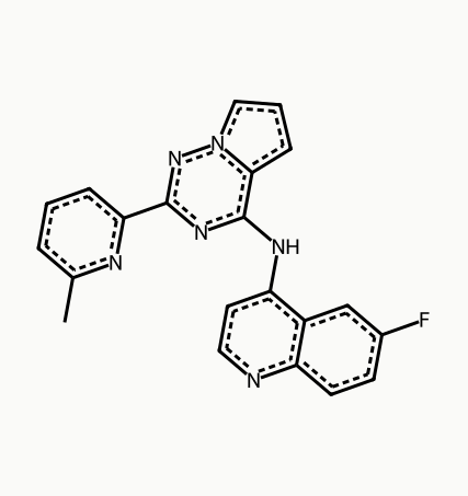 Cc1cccc(-c2nc(Nc3ccnc4ccc(F)cc34)c3cccn3n2)n1